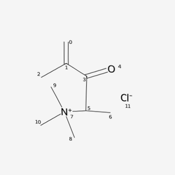 C=C(C)C(=O)C(C)[N+](C)(C)C.[Cl-]